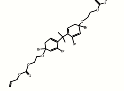 C=CCOC(=O)OCCOC1(Br)C=C(Br)C(C(C)(C)C2=CCC(Br)(OCCOC(=O)OCC=C)C=C2Br)=CC1